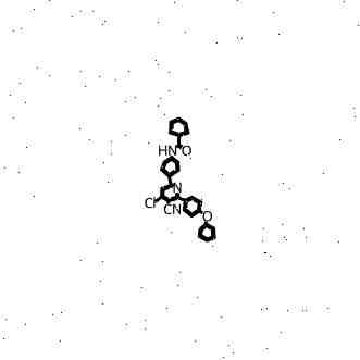 N#Cc1c(Cl)cc(-c2ccc(NC(=O)c3ccccc3)cc2)nc1-c1ccc(Oc2ccccc2)cc1